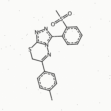 Cc1ccc(C2=Nn3c(nnc3-c3ccccc3S(C)(=O)=O)SC2)cc1